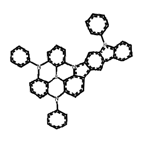 c1ccc(N2c3cccc4c3B3c5c2cccc5-n2c5cc6c(cc5c5ccc(c3c52)N4c2ccccc2)c2ccccc2n6-c2ccccc2)cc1